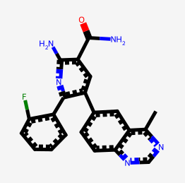 Cc1ncnc2ccc(-c3cc(C(N)=O)c(N)nc3-c3ccccc3F)cc12